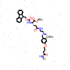 CCNC(=O)CCCOc1ccc(CN(C)CCNC(=O)CC[C@H](NC(=O)OCC2c3ccccc3-c3ccccc32)C(=O)OC(C)(C)C)c(OC)c1